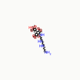 COc1cc(C2c3cc4c(cc3C(NC(=O)CCCNCCCNCCCCN)C3COC(=O)C23)OCO4)cc(OC)c1O